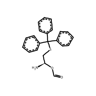 N[C@@H](CSC(c1ccccc1)(c1ccccc1)c1ccccc1)OC=O